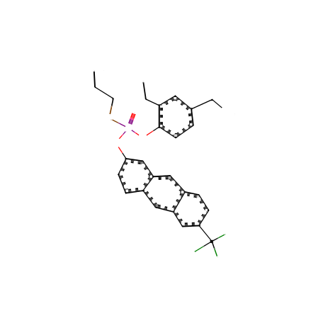 CCCSP(=O)(Oc1ccc2cc3cc(C(F)(F)F)ccc3cc2c1)Oc1ccc(CC)cc1CC